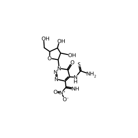 N=C(c1nnn(C2OC(CO)C(O)C2O)c(=O)c1NC(N)=S)[N+](=O)[O-]